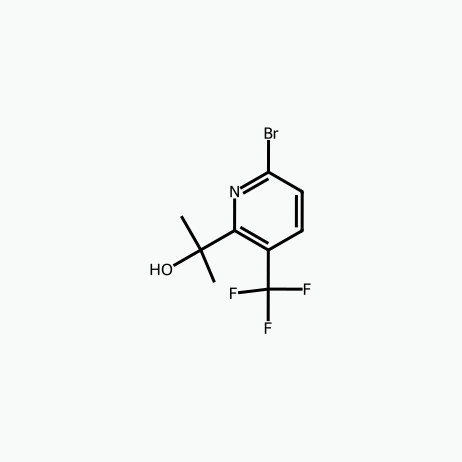 CC(C)(O)c1nc(Br)ccc1C(F)(F)F